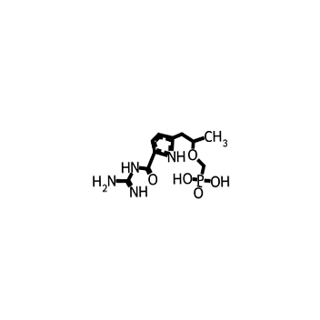 CC(Cc1ccc(C(=O)NC(=N)N)[nH]1)OCP(=O)(O)O